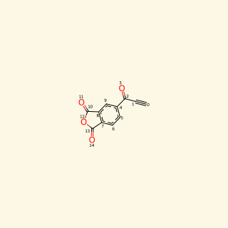 C#CC(=O)c1ccc2c(c1)C(=O)OC2=O